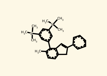 Cc1ccc2c(c1-c1cc([Si](C)(C)C)cc([Si](C)(C)C)c1)C=C(c1ccccc1)[CH]2